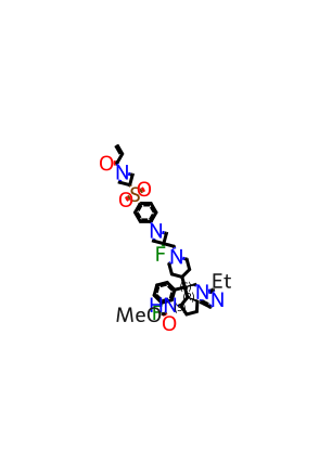 C=CC(=O)N1CC(S(=O)(=O)c2ccc(N3CC(F)(CN4CCC([C@@](Cn5ccnc5CC)(c5cccc(F)c5)[C@H]5CCC[C@@H]5NC(=O)OC)CC4)C3)cc2)C1